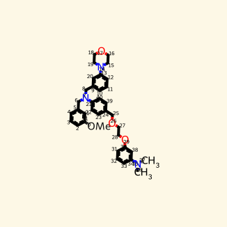 COc1cccc(CN(Cc2cccc(N3CCOCC3)c2)c2ccc(COCCOc3cccc(N(C)C)c3)cc2)c1